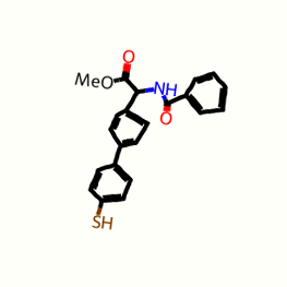 COC(=O)C(NC(=O)c1ccccc1)c1ccc(-c2ccc(S)cc2)cc1